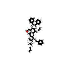 C=CCOC(=O)OC1[C@H](C)OC(C(=O)OC)[C@@H](O[C@H]2OC(CC)[C@@H](OCc3ccccc3)[C@@H](OCc3ccccc3)C2N=[N+]=[N-])[C@H]1OCc1ccccc1